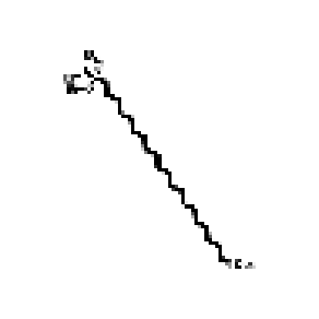 CCCCCCCCCCCCCCCCCCCCCCCCCCCCCC[Si](OCC)(OCC)OCC